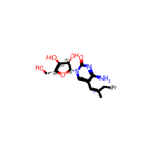 C/C(=C/c1cn([C@@H]2O[C@H](CO)[C@@H](O)[C@H]2O)c(=O)nc1N)CC(C)C